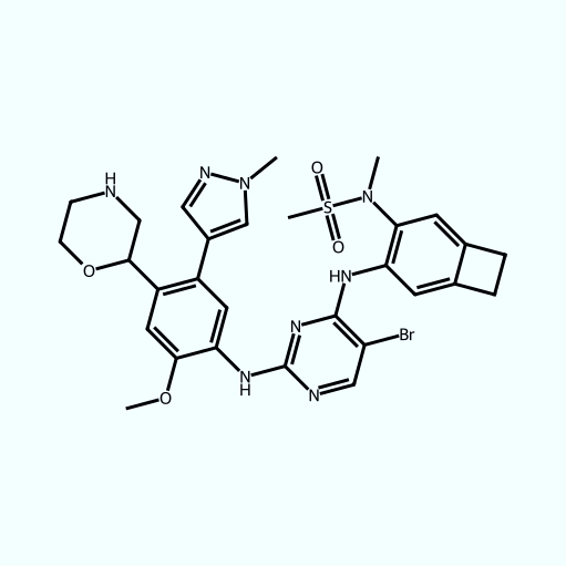 COc1cc(C2CNCCO2)c(-c2cnn(C)c2)cc1Nc1ncc(Br)c(Nc2cc3c(cc2N(C)S(C)(=O)=O)CC3)n1